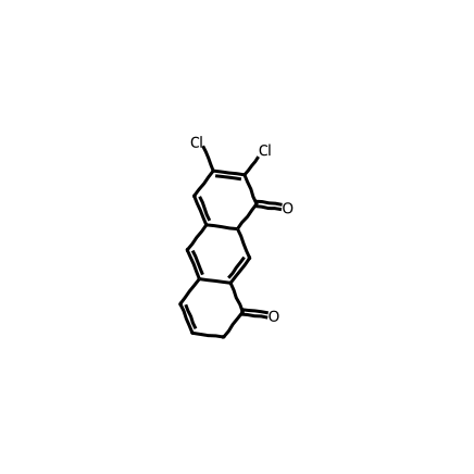 O=C1CC=CC2=CC3=CC(Cl)=C(Cl)C(=O)C3C=C12